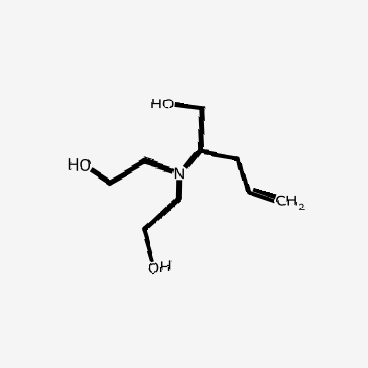 C=CCC(CO)N(CCO)CCO